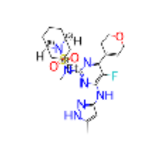 CCS(=O)(=O)N1[C@@H]2CCC[C@H]1C[C@H](N(C)c1nc(Nc3cc(C)[nH]n3)c(F)c(C3=CCOCC3)n1)C2